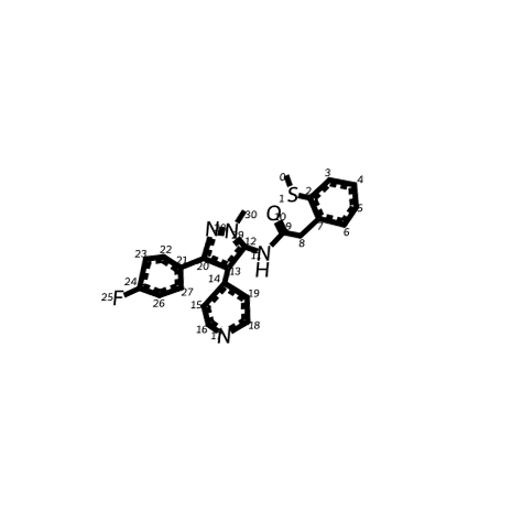 CSc1ccccc1CC(=O)Nc1c(-c2ccncc2)c(-c2ccc(F)cc2)nn1C